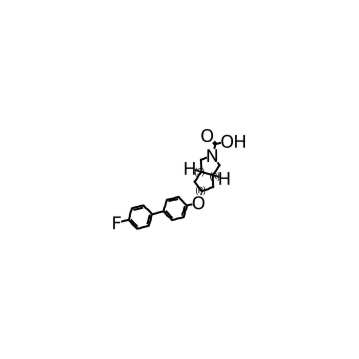 O=C(O)N1C[C@H]2C[C@@H](Oc3ccc(-c4ccc(F)cc4)cc3)C[C@H]2C1